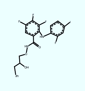 CC(C)CC(O)CONC(=O)c1cc(F)c(F)c(F)c1Nc1ccc(I)cc1F